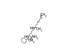 C=C=CC/C=C/CCC(=C)NCCCCC(NC(=C)C1CCCCCCC1)C(N)=O